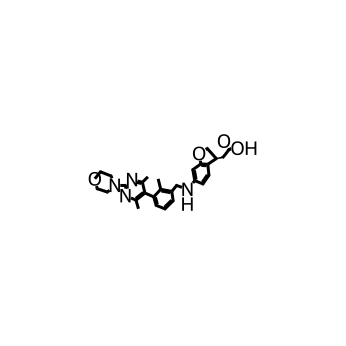 Cc1nc(N2CCOCC2)nc(C)c1-c1cccc(CNc2ccc3c(c2)OC[C@H]3CC(=O)O)c1C